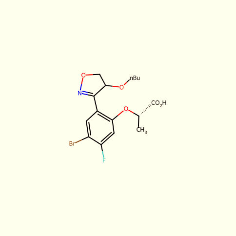 CCCCOC1CON=C1c1cc(Br)c(F)cc1O[C@@H](C)C(=O)O